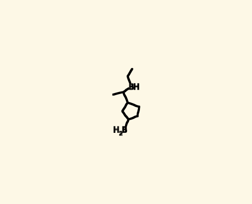 BC1CCC(C(C)BCC)C1